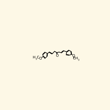 COc1ccc(C=CCC(=O)CC=Cc2ccc(OC)cc2)cc1